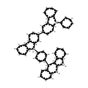 c1ccc(-n2c3ccccc3c3cc(-c4ccc5c6ccccc6n(-c6ccc(-c7c8ccccc8nc8oc9ccccc9c78)cc6)c5c4)ccc32)cc1